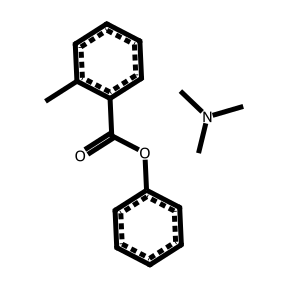 CN(C)C.Cc1ccccc1C(=O)Oc1ccccc1